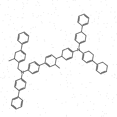 CC1CC(c2ccccc2)=CC=C1CN(c1ccc(C2=CC(C)C(C3C=CC(N(C4=CCC(c5ccccc5)C=C4)C4=CC=C(C5=CC=CCC5)CC4)=CC3)C=C2)cc1)c1ccc(-c2ccccc2)cc1